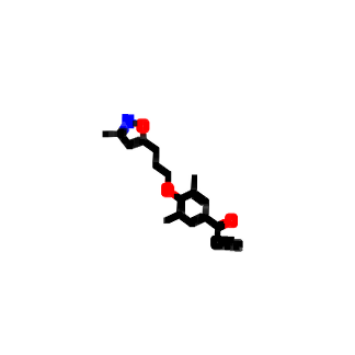 COC(=O)c1cc(C)c(OCCCc2cc(C)no2)c(C)c1